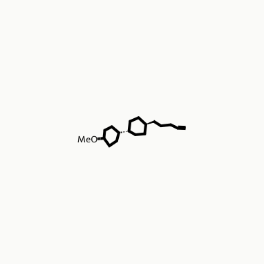 C=CCCC[C@H]1CC[C@H](C2CCC(OC)CC2)CC1